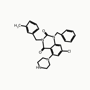 Cc1cccc(Cn2c(=O)c3c(N4CCNCC4)cc(Cl)cc3n(Cc3ccccc3)c2=O)c1